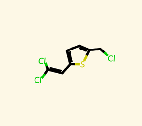 ClCc1ccc(C=C(Cl)Cl)s1